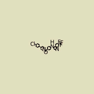 O=C(c1ccc(Nc2ccnc3cc(C(F)(F)F)ccc23)cc1)N1CC=C(c2ccc(Cl)cc2)CC1